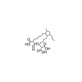 CCCC1CC(C)C(CCCCCC(C(=O)O)C(=O)O)C1CCCCCC(C(=O)O)C(=O)O